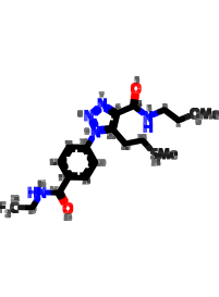 COCCNC(=O)c1nnn(-c2ccc(C(=O)NCC(F)(F)F)cc2)c1CCSC